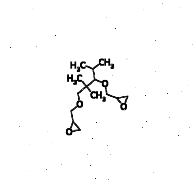 CC(C)C(OCC1CO1)C(C)(C)COCC1CO1